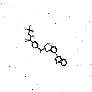 O=C(NCC(F)(F)F)c1ccc(C(=O)N2CCOc3ccc(-c4cnc5ccccc5c4)cc3C2)cc1